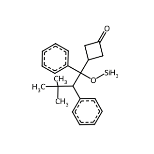 CC(C)(C)C(c1ccccc1)C(O[SiH3])(c1ccccc1)C1CC(=O)C1